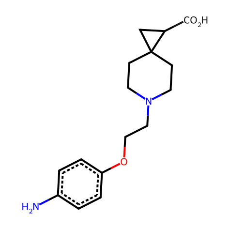 Nc1ccc(OCCN2CCC3(CC2)CC3C(=O)O)cc1